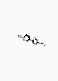 N#Cc1ccc(-c2ccc(N)cn2)cn1